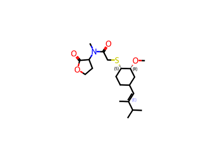 CO[C@@H]1CC(/C=C(\C)C(C)C)CC[C@@H]1SCC(=O)N(C)C1CCOC1=O